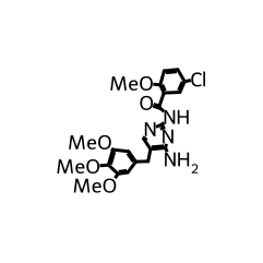 COc1ccc(Cl)cc1C(=O)Nc1ncc(Cc2cc(OC)c(OC)c(OC)c2)c(N)n1